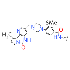 CSc1cc(C(=O)NC2CC2)ccc1N1CCN(Cc2cnc3c(c2)[nH]c(=O)n2ccc(C)c32)CC1